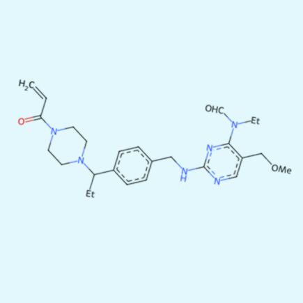 C=CC(=O)N1CCN(C(CC)c2ccc(CNc3ncc(COC)c(N(C=O)CC)n3)cc2)CC1